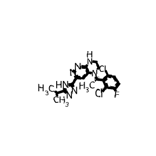 CC(C)c1nnc(-c2cc3c(nn2)NCCN3[C@H](C)c2c(Cl)ccc(F)c2Cl)[nH]1